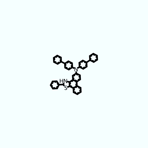 c1ccc(-c2ccc(N(c3ccc(-c4ccccc4)cc3)c3ccc4c(c3)c3c(c5ccccc54)SC(c4ccccc4)N3)cc2)cc1